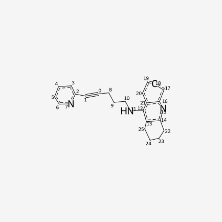 C(#Cc1ccccn1)CCCNc1c2c(nc3ccccc13)CCCC2